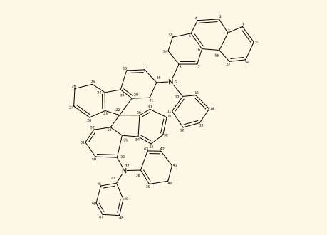 C1=CC2C=CC3=C(C=C(N(c4ccccc4)C4C=CC5=C(C4)C4(C6=C5CCC=C6)c5ccccc5C5C(N(C6=CCCC=C6)c6ccccc6)=CC=CC54)CC3)C2C=C1